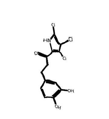 O=C(CCc1ccc(O)c(O)c1)c1[nH]c(Cl)c(Cl)c1Cl